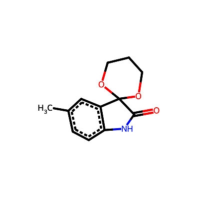 Cc1ccc2c(c1)C1(OCCCO1)C(=O)N2